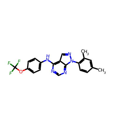 Cc1ccc(-n2ncc3c(Nc4ccc(OC(F)(F)F)cc4)ncnc32)c(C)c1